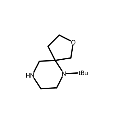 CC(C)(C)N1CCNCC12CCOC2